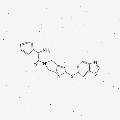 NC(C(=O)N1Cc2cn(Sc3ccc4ncsc4c3)nc2C1)c1ccccc1